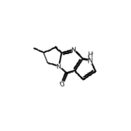 CC1Cc2nc3[nH]ccc3c(=O)n2C1